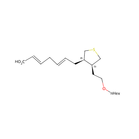 CCCCCCOCC[C@@H]1CSC[C@@H]1CC=CCC=CC(=O)O